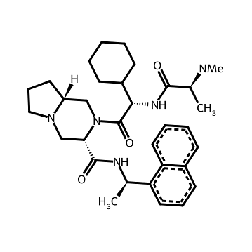 CN[C@@H](C)C(=O)N[C@H](C(=O)N1C[C@H]2CCCN2C[C@H]1C(=O)N[C@H](C)c1cccc2ccccc12)C1CCCCC1